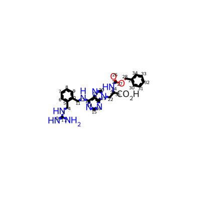 N=C(N)NCc1ccccc1CNc1ncnc2c1ncn2CC(NC(=O)OCc1ccccc1)C(=O)O